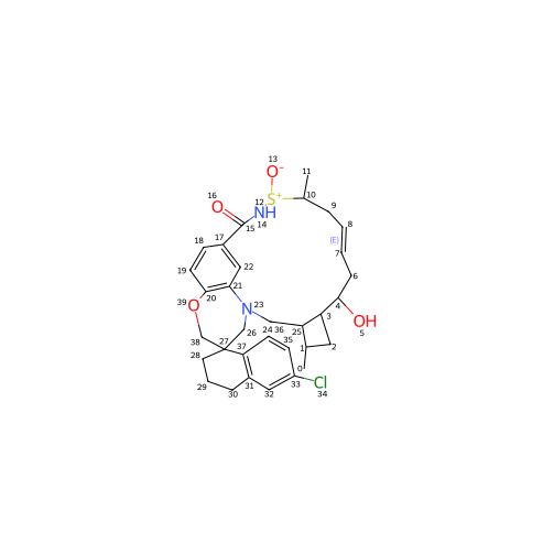 CC1CC2C(O)C/C=C/CC(C)[S+]([O-])NC(=O)c3ccc4c(c3)N(CC12)CC1(CCCc2cc(Cl)ccc21)CO4